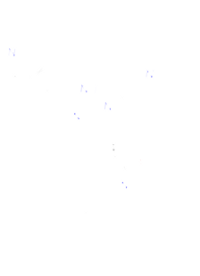 CC(C)CCN(CCC(C)C)C(=O)c1ccc2nc(Nc3ccc(C(N)=O)cc3)n(C3CCN(C)CC3)c2c1